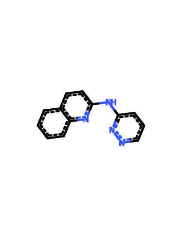 c1cnnc(Nc2ccc3ccccc3n2)c1